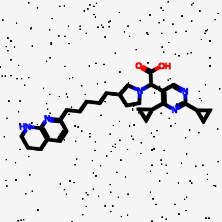 O=C(O)C(c1cnc(C2CC2)nc1C1CC1)N1CCC(CCCCCc2ccc3c(n2)NCCC3)C1